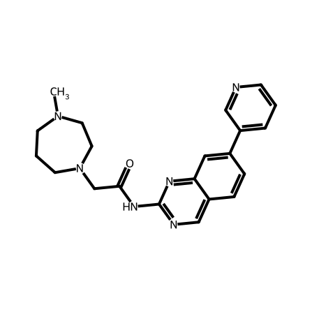 CN1CCCN(CC(=O)Nc2ncc3ccc(-c4cccnc4)cc3n2)CC1